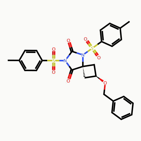 Cc1ccc(S(=O)(=O)N2C(=O)N(S(=O)(=O)c3ccc(C)cc3)[C@]3(C[C@H](OCc4ccccc4)C3)C2=O)cc1